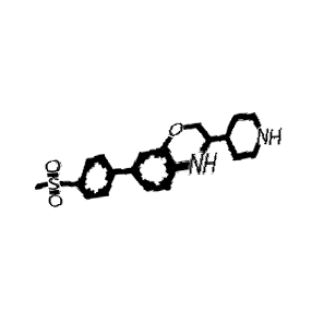 CS(=O)(=O)c1ccc(-c2ccc3c(c2)OCC(C2CCNCC2)N3)cc1